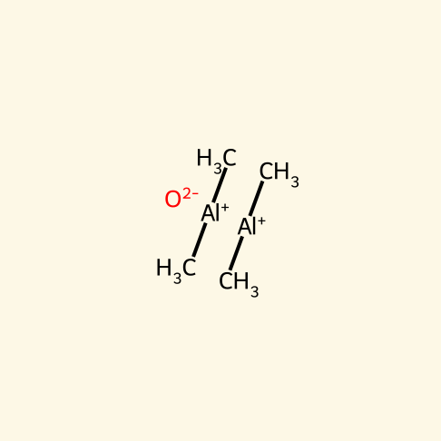 [CH3][Al+][CH3].[CH3][Al+][CH3].[O-2]